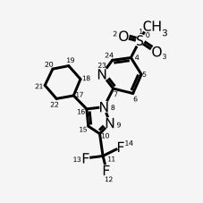 CS(=O)(=O)c1ccc(-n2nc(C(F)(F)F)cc2C2CCCCC2)nc1